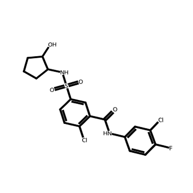 O=C(Nc1ccc(F)c(Cl)c1)c1cc(S(=O)(=O)NC2CCCC2O)ccc1Cl